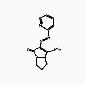 Nc1c(N=Nc2ccccn2)c(=O)n2n1CCC2